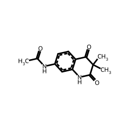 CC(=O)Nc1ccc2c(c1)NC(=O)C(C)(C)C2=O